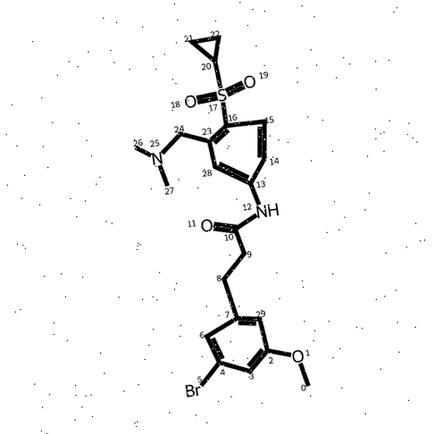 COc1cc(Br)cc(CCC(=O)Nc2ccc(S(=O)(=O)C3CC3)c(CN(C)C)c2)c1